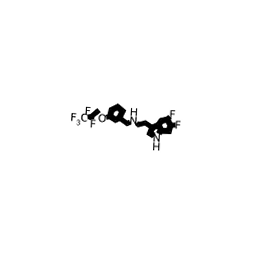 Fc1cc2[nH]cc(CCNCc3cccc(OCC(F)(F)C(F)(F)F)c3)c2cc1F